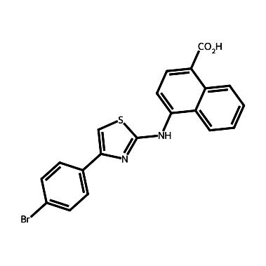 O=C(O)c1ccc(Nc2nc(-c3ccc(Br)cc3)cs2)c2ccccc12